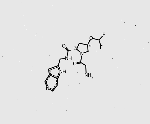 NCC(=O)N1C[C@H](OC(F)F)C[C@H]1C(=O)NCc1cc2cnccc2[nH]1